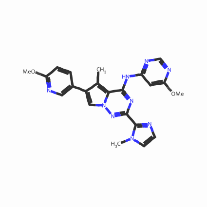 COc1ccc(-c2cn3nc(-c4nccn4C)nc(Nc4cc(OC)ncn4)c3c2C)cn1